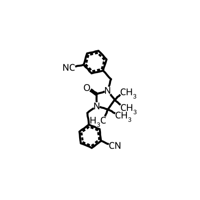 CC1(C)N(Cc2cccc(C#N)c2)C(=O)N(Cc2cccc(C#N)c2)C1(C)C